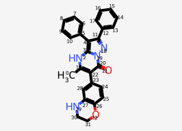 Cc1[nH]c2c(-c3ccccc3)c(-c3ccccc3)nn2c(=O)c1-c1ccc2c(c1)NCCO2